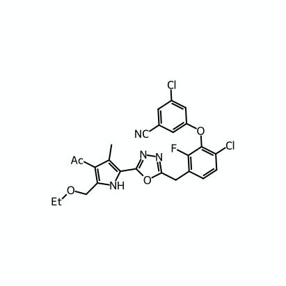 CCOCc1[nH]c(-c2nnc(Cc3ccc(Cl)c(Oc4cc(Cl)cc(C#N)c4)c3F)o2)c(C)c1C(C)=O